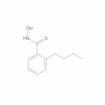 CCCCc1ccccc1C(=O)NO